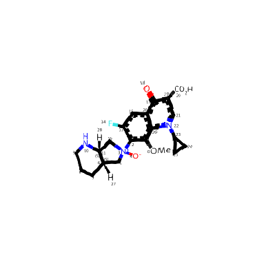 COc1c([N+]2([O-])C[C@@H]3CCCN[C@@H]3C2)c(F)cc2c(=O)c(C(=O)O)cn(C3CC3)c12